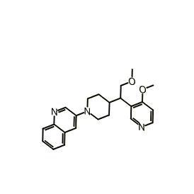 COCC(c1cnccc1OC)C1CCN(c2cnc3ccccc3c2)CC1